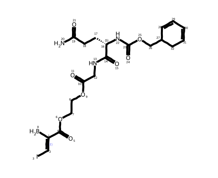 B/C(=C\I)C(=O)OCCOC(=O)CNC(=O)[C@H](CCC(N)=O)NC(=O)OCC1C=CC=CC1